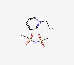 FC(F)(F)C[n+]1ccccc1.O=S(=O)([N-]S(=O)(=O)C(F)(F)F)C(F)(F)F